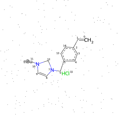 C=Cc1ccc(CN2C=CN(CCCC)C2)cc1.Cl